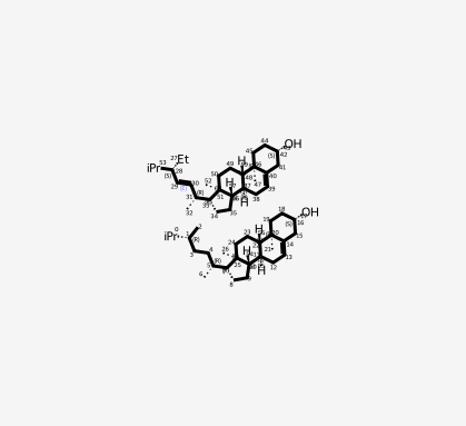 CC(C)[C@H](C)CC[C@@H](C)[C@H]1CC[C@H]2[C@@H]3CC=C4C[C@@H](O)CC[C@]4(C)[C@H]3CC[C@]12C.CC[C@H](/C=C/[C@@H](C)[C@H]1CC[C@H]2[C@@H]3CC=C4C[C@@H](O)CC[C@]4(C)[C@H]3CC[C@]12C)C(C)C